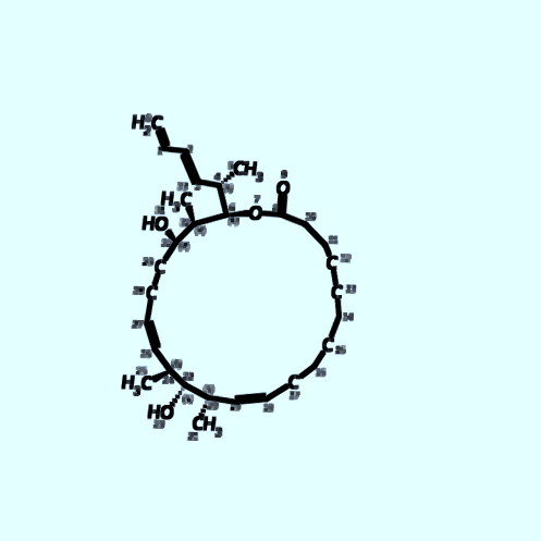 C=CC=C[C@H](C)[C@H]1OC(=O)CCCCCCCCC=C[C@H](C)[C@H](O)[C@@H](C)C=CCC[C@@H](O)[C@H]1C